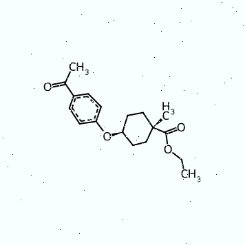 CCOC(=O)[C@]1(C)CC[C@@H](Oc2ccc(C(C)=O)cc2)CC1